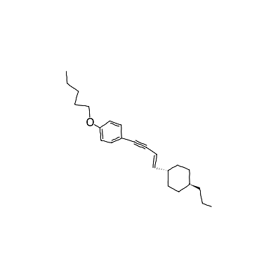 CCCCCOc1ccc(C#CC=C[C@H]2CC[C@H](CCC)CC2)cc1